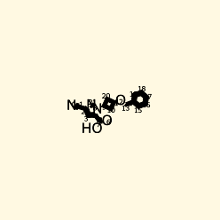 N#Cc1cc(C(=O)O)n([C@H]2C[C@H](OCc3ccccc3)C2)n1